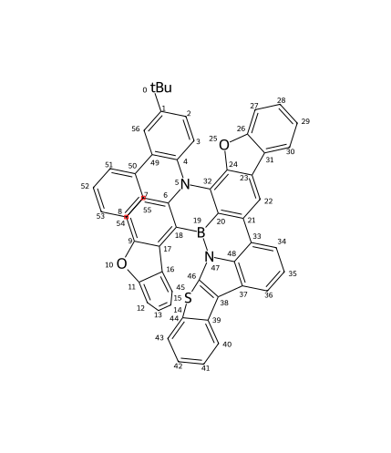 CC(C)(C)c1ccc(N2c3ccc4oc5ccccc5c4c3B3c4c(cc5c(oc6ccccc65)c42)-c2cccc4c5c6ccccc6sc5n3c24)c(-c2ccccc2)c1